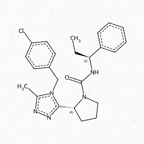 CC[C@H](NC(=O)N1CCC[C@@H]1c1nnc(C)n1Cc1ccc(Cl)cc1)c1ccccc1